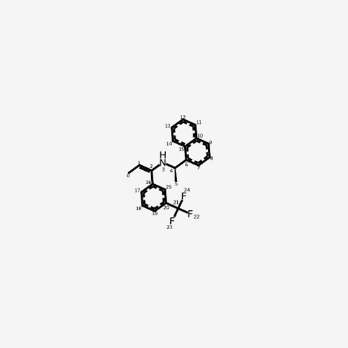 CC=C(N[C@H](C)c1cccc2ccccc12)c1cccc(C(F)(F)F)c1